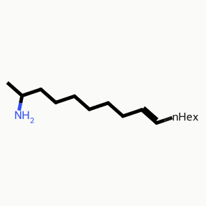 CCCCCCC=CCCCCCCC(C)N